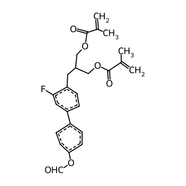 C=C(C)C(=O)OCC(COC(=O)C(=C)C)Cc1ccc(-c2ccc(OC=O)cc2)cc1F